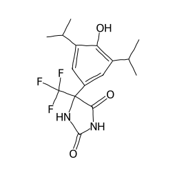 CC(C)c1cc(C2(C(F)(F)F)NC(=O)NC2=O)cc(C(C)C)c1O